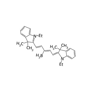 BC(/C=C/C1=[N+](CC)c2ccccc2C1(C)C)=C\C=C1\N(CC)c2ccccc2C1(C)C